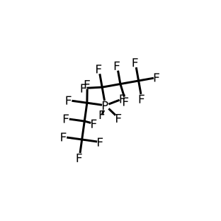 FC(F)(F)C(F)(F)C(F)(F)P(F)(F)(F)C(F)(F)C(F)(F)C(F)(F)F